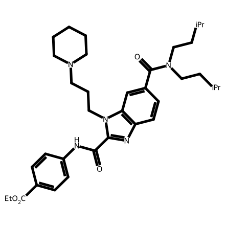 CCOC(=O)c1ccc(NC(=O)c2nc3ccc(C(=O)N(CCC(C)C)CCC(C)C)cc3n2CCCN2CCCCC2)cc1